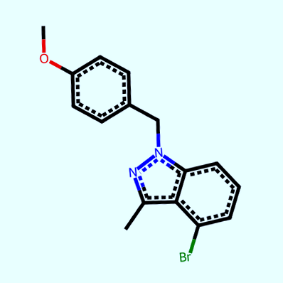 COc1ccc(Cn2nc(C)c3c(Br)cccc32)cc1